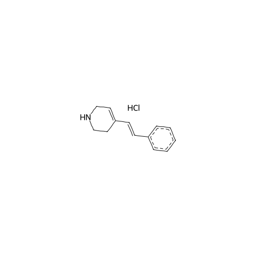 C(=Cc1ccccc1)C1=CCNCC1.Cl